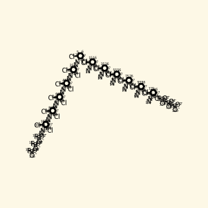 N#[N+]c1c(Cl)cccc1Cl.N#[N+]c1c(Cl)cccc1Cl.N#[N+]c1c(Cl)cccc1Cl.N#[N+]c1c(Cl)cccc1Cl.N#[N+]c1c(Cl)cccc1Cl.N#[N+]c1c(Cl)cccc1Cl.N#[N+]c1c(Cl)cccc1Cl.N#[N+]c1c(Cl)cccc1Cl.N#[N+]c1c(Cl)cccc1Cl.N#[N+]c1c(Cl)cccc1Cl.N#[N+]c1c(Cl)cccc1Cl.N#[N+]c1c(Cl)cccc1Cl.[O-]B([O-])F.[O-]B([O-])F.[O-]B([O-])F.[O-]B([O-])F.[O-]B([O-])F.[O-]B([O-])F